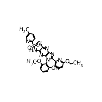 CCOC1=NC(c2nc3nc(Cl)c(NS(=O)(=O)c4ccc(C)cn4)nc3n2-c2c(O)cccc2OC)=C=C=C1